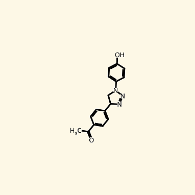 CC(=O)c1ccc(C2CN(c3ccc(O)cc3)N=N2)cc1